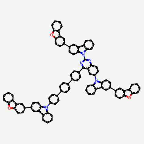 c1ccc2c(c1)oc1ccc(-c3ccc4c(c3)c3ccccc3n4-c3ccc(-c4ccc(-c5ccc(-c6nc(-n7c8ccccc8c8cc(-c9ccc%10oc%11ccccc%11c%10c9)ccc87)nc7ccc(-n8c9ccccc9c9cc(-c%10ccc%11oc%12ccccc%12c%11c%10)ccc98)cc67)cc5)cc4)cc3)cc12